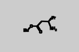 CCC(C)OC(=O)C[C@H](N)C(C)C